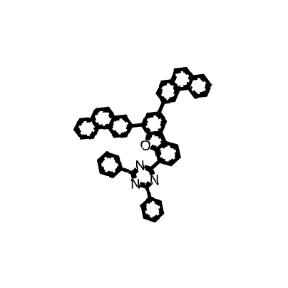 c1ccc(-c2nc(-c3ccccc3)nc(-c3cccc4c3oc3c(-c5ccc6c(ccc7ccccc76)c5)cc(-c5ccc6ccc7ccccc7c6c5)cc34)n2)cc1